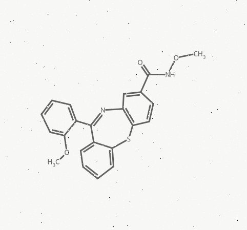 CONC(=O)c1ccc2c(c1)N=C(c1ccccc1OC)c1ccccc1S2